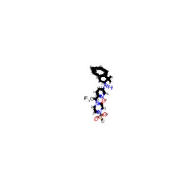 CC1(C)c2ccccc2CC1Nc1ccc(C(N2CCN(S(C)(=O)=O)CC2=O)C(F)(F)F)nc1